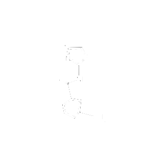 [CH2]c1cccc(C(=O)Nc2nncs2)c1